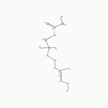 CC/C=C(\C)CCCC(C)(C)OCC(=O)OC